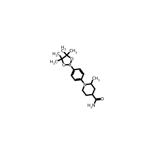 CC1CC(C(N)=O)CCN1c1ccc(B2OC(C)(C)C(C)(C)O2)cc1